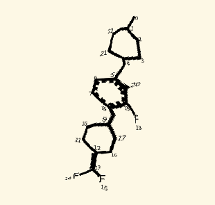 CC1CCC(c2ccc(C3CCC(=C(F)F)CC3)c(F)c2)CC1